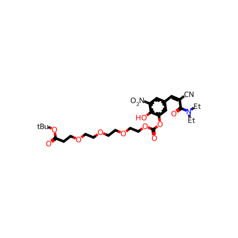 CCN(CC)C(=O)C(C#N)=Cc1cc(OC(=O)OCCOCCOCCOCCC(=O)OC(C)(C)C)c(O)c([N+](=O)[O-])c1